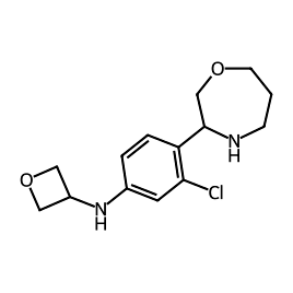 Clc1cc(NC2COC2)ccc1C1COCCCN1